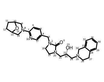 O=C1N(Cc2ccc(N3CC4CCC(C3)O4)nc2)CCN1C[C@H](O)CN1CCc2ccccc2C1